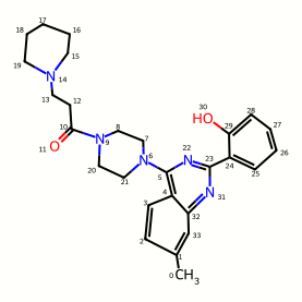 Cc1ccc2c(N3CCN(C(=O)CCN4CCCCC4)CC3)nc(-c3ccccc3O)nc2c1